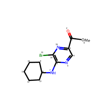 COC(=O)c1cnc(NC2CCCCC2)c(Br)n1